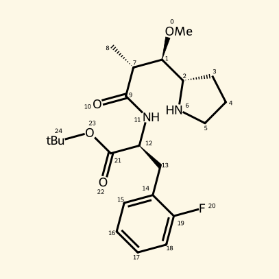 CO[C@@H]([C@@H]1CCCN1)[C@@H](C)C(=O)N[C@@H](Cc1ccccc1F)C(=O)OC(C)(C)C